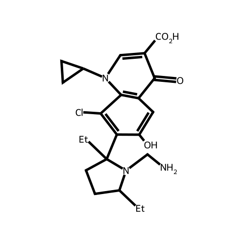 CCC1CCC(CC)(c2c(O)cc3c(=O)c(C(=O)O)cn(C4CC4)c3c2Cl)N1CN